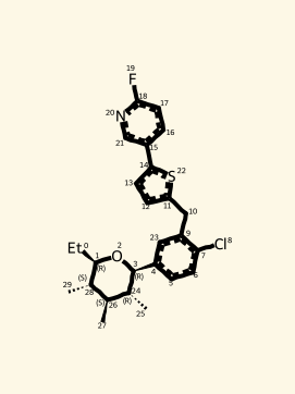 CC[C@H]1O[C@@H](c2ccc(Cl)c(Cc3ccc(-c4ccc(F)nc4)s3)c2)[C@H](C)[C@@H](C)[C@@H]1C